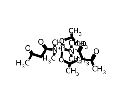 CC(=O)CC(=O)[N+](C)(C)[Ti]([O]C(C)C)([O]C(C)C)[N+](C)(C)C(=O)CC(C)=O